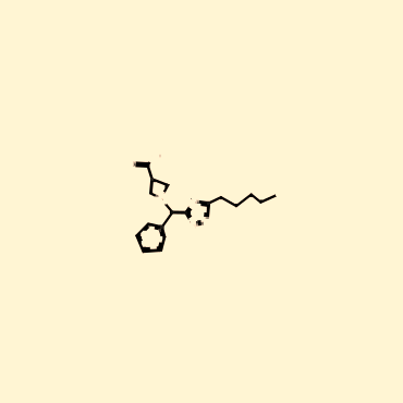 CCCCCc1nc(C(c2ccccc2)N2CC(C(=O)O)C2)no1